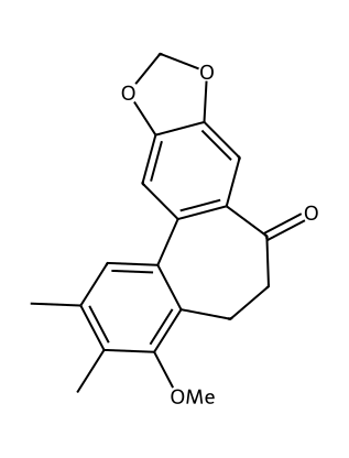 COc1c(C)c(C)cc2c1CCC(=O)c1cc3c(cc1-2)OCO3